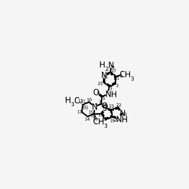 Cc1cc(NC(=O)C(=O)N2C[C@@H](C)CC[C@@]2(C)c2cc3[nH]ncc3s2)cnc1N